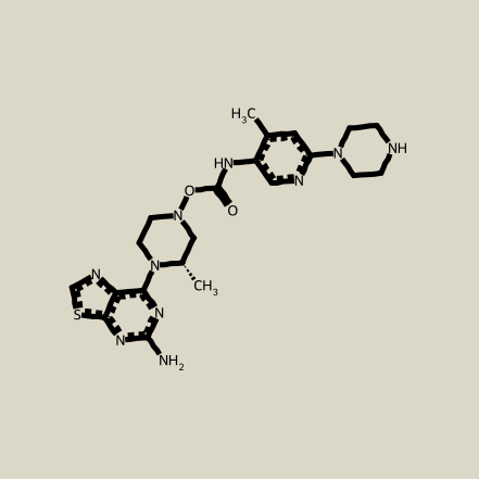 Cc1cc(N2CCNCC2)ncc1NC(=O)ON1CCN(c2nc(N)nc3scnc23)[C@@H](C)C1